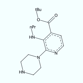 CCCNc1c(C(=O)OC(C)(C)C)ccnc1N1CCNCC1